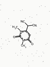 Cn1c(C(C#N)C#N)cc(=O)n(C)c1=O